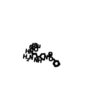 CC(C)(C)OC(=O)N/C(N)=C/C(=N)C1CCN(C(=O)OCc2ccccc2)CC1